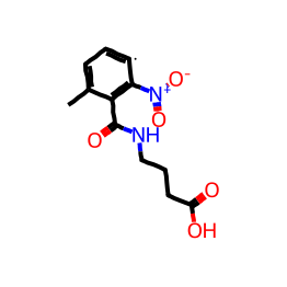 Cc1cc[c]c([N+](=O)[O-])c1C(=O)NCCCC(=O)O